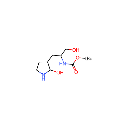 CC(C)(C)OC(=O)NC(CO)CC1CCNC1O